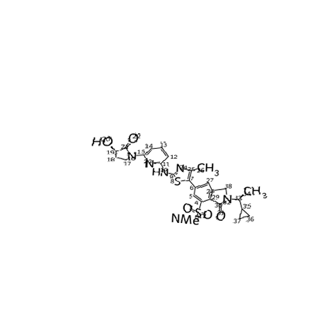 CNS(=O)(=O)c1cc(-c2sc(Nc3cccc(N4CC[C@@H](O)C4=O)n3)nc2C)cc2c1C(=O)N([C@@H](C)C1CC1)C2